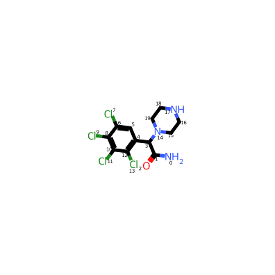 NC(=O)C(c1cc(Cl)c(Cl)c(Cl)c1Cl)N1CCNCC1